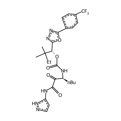 CCCC[C@H](NC(=O)O[C@@H](c1nnc(-c2ccc(C(F)(F)F)cc2)o1)C(C)(C)CC)C(=O)C(=O)Nc1ccn[nH]1